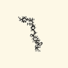 CSc1cnc(NC[C@H](C)CNc2ccc(C3CC3C(=O)N3CCC4(CC3)CN(C(=O)OC(C)(C)C)C4)cn2)nc1